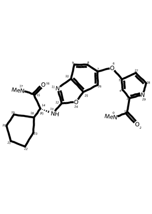 CNC(=O)c1cc(Oc2ccc3nc(N[C@@H](C(=O)NC)C4CCCCC4)oc3c2)ccn1